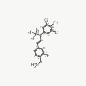 NCc1ccc(/C=C/C(c2cc(Cl)c(F)c(Cl)c2)C(F)(F)F)cc1F